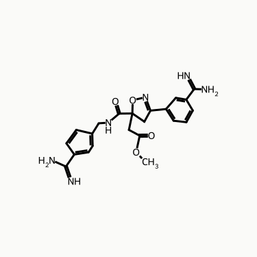 COC(=O)CC1(C(=O)NCc2ccc(C(=N)N)cc2)CC(c2cccc(C(=N)N)c2)=NO1